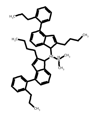 CCCCC1=Cc2c(-c3ccccc3CCC)cccc2[CH]1[Hf]([CH]1C(CCCC)=Cc2c(-c3ccccc3CCC)cccc21)[SiH](C)C